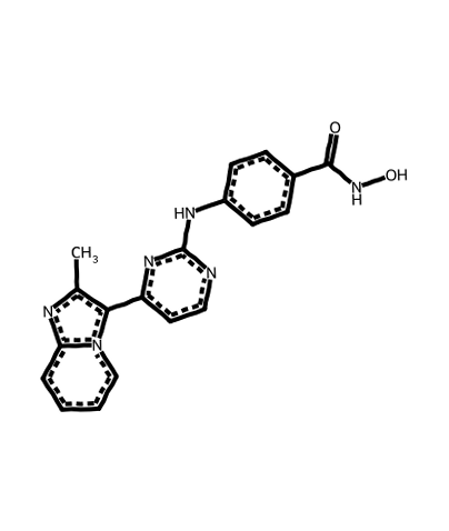 Cc1nc2ccccn2c1-c1ccnc(Nc2ccc(C(=O)NO)cc2)n1